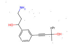 CCCC(C)(O)C#Cc1cccc(C(O)CCN)c1